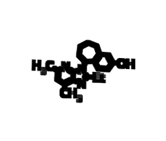 CCc1nc2c(C)cc(C)nc2n1C1CCCCc2cc(O)ccc21